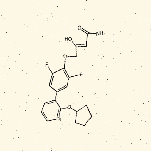 NC(=O)/C=C(\O)COc1c(F)cc(-c2cccnc2OC2CCCC2)cc1F